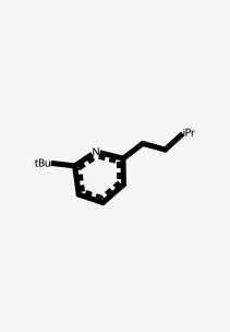 CC(C)CCc1cccc(C(C)(C)C)n1